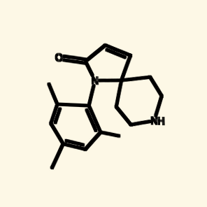 Cc1cc(C)c(N2C(=O)C=CC23CCNCC3)c(C)c1